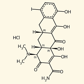 CN(C)[C@@H]1C(=O)C(C(N)=O)=C(O)[C@@]2(O)C(=O)C3=C(O)c4c(O)ccc(I)c4C[C@H]3C[C@@H]12.Cl